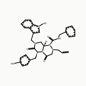 C=CCN1CC(=O)N2[C@@H](Cc3ccc(O)cc3)C(=O)N(Cc3cn(CCC)c4ccccc34)C[C@@H]2N1C(=O)NCc1ccccc1